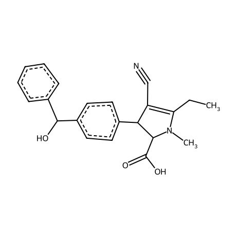 CCC1=C(C#N)C(c2ccc(C(O)c3ccccc3)cc2)C(C(=O)O)N1C